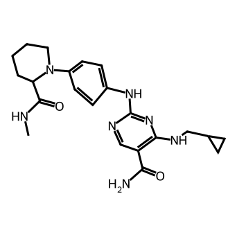 CNC(=O)C1CCCCN1c1ccc(Nc2ncc(C(N)=O)c(NCC3CC3)n2)cc1